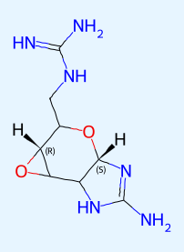 N=C(N)NCC1O[C@@H]2N=C(N)NC2C2O[C@H]12